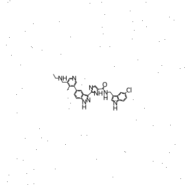 CCNCc1cncc(-c2ccc3[nH]nc(-c4ncc(C(=O)NCc5c[nH]c6ccc(Cl)cc56)[nH]4)c3c2)c1C